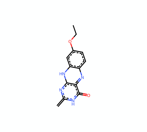 C=c1nc2c(c(=O)[nH]1)=Nc1ccc(OCC)cc1N2